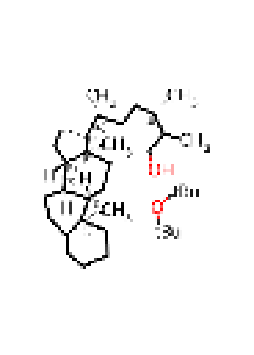 CC(C)(C)OC(C)(C)C.CC(CO)[C@@H](C)CC[C@@H](C)[C@H]1CC[C@H]2[C@@H]3CCC4CCCC[C@]4(C)[C@H]3CC[C@]12C